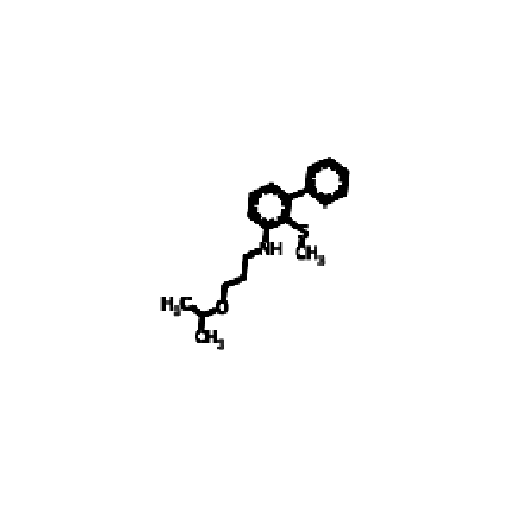 CSc1c(NCCCOC(C)C)cccc1-c1[c]cccc1